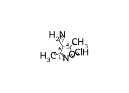 Cc1noc(C)c1CN.Cl